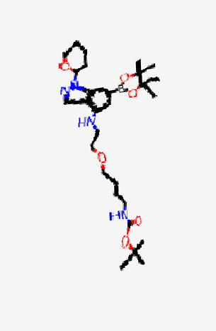 CC(C)(C)OC(=O)NCCCCOCCNc1cc(B2OC(C)(C)C(C)(C)O2)cc2c1cnn2C1CCCCO1